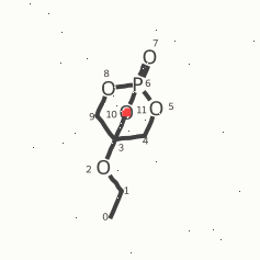 CCOC12COP(=O)(OC1)OC2